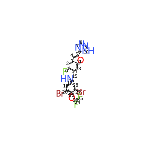 Fc1cc2cc(-c3nnn[nH]3)oc2cc1CNc1cc(Br)c(OC(F)F)c(Br)c1